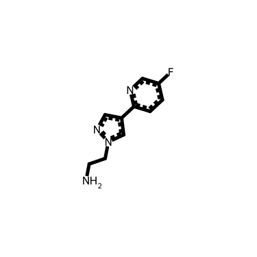 NCCn1cc(-c2ccc(F)cn2)cn1